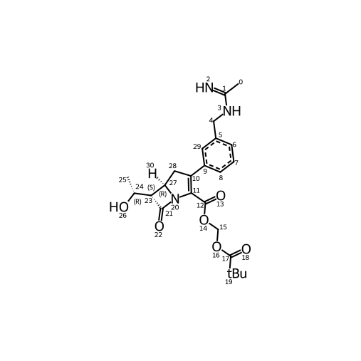 CC(=N)NCc1cccc(C2=C(C(=O)OCOC(=O)C(C)(C)C)N3C(=O)[C@H]([C@@H](C)O)[C@H]3C2)c1